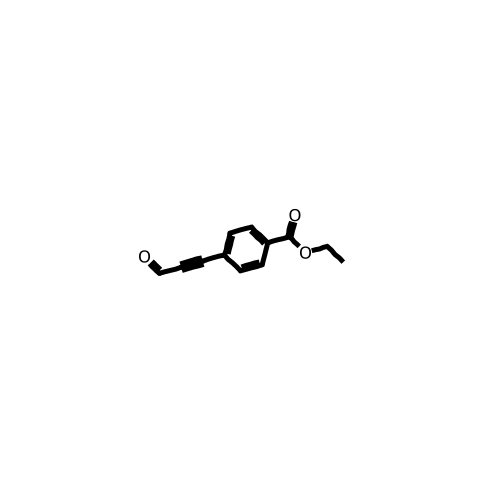 CCOC(=O)c1ccc(C#CC=O)cc1